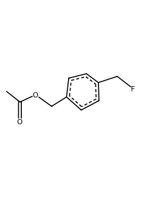 CC(=O)OCc1ccc(CF)cc1